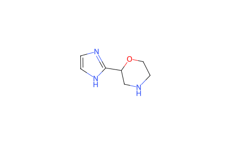 c1c[nH]c(C2CNCCO2)n1